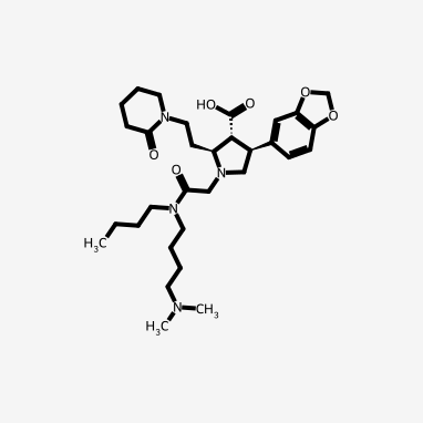 CCCCN(CCCCN(C)C)C(=O)CN1C[C@H](c2ccc3c(c2)OCO3)[C@@H](C(=O)O)[C@@H]1CCN1CCCCC1=O